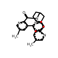 Cc1ccc(OC2CC3CCC2N(C(=O)c2ncc(C)cc2-c2ccccn2)C3)nc1